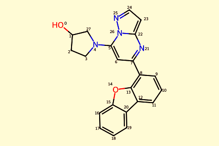 OC1CCN(c2cc(-c3cccc4c3oc3ccccc34)nc3ccnn23)C1